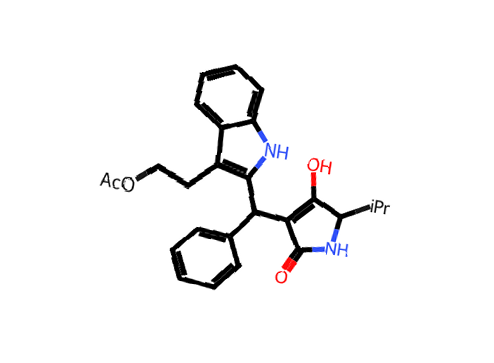 CC(=O)OCCc1c(C(C2=C(O)C(C(C)C)NC2=O)c2ccccc2)[nH]c2ccccc12